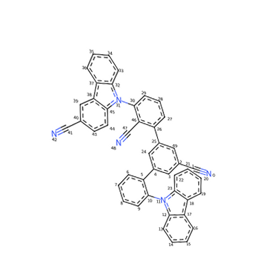 N#Cc1cc(-c2ccccc2-n2c3ccccc3c3ccccc32)cc(-c2cccc(-n3c4ccccc4c4cc(C#N)ccc43)c2C#N)c1